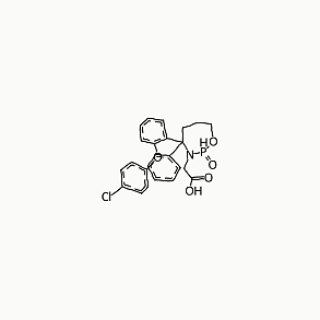 O=C(O)CN1[PH](=O)OCCCC1(c1ccccc1)c1ccccc1Oc1ccc(Cl)cc1